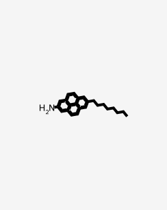 CCCCCCCCc1cc2ccc3cc(N)cc4ccc(c1)c2c34